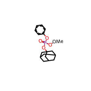 COOP(=O)(Oc1ccccc1)OC12CC3CC(CC(C3)C1)C2